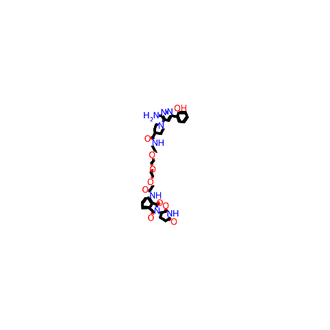 Nc1nnc(-c2ccccc2O)cc1N1CCC(C(=O)NCCOCCOCCOCC(=O)Nc2cccc3c2C(=O)N(C2CCC(=O)NC2=O)C3=O)CC1